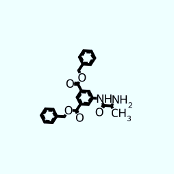 CC(N)C(=O)Nc1cc(C(=O)OCc2ccccc2)cc(C(=O)OCc2ccccc2)c1